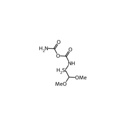 COC(OC)[SiH2]NC(=O)OC(N)=O